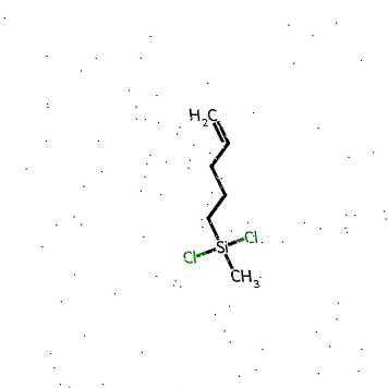 C=CCCC[Si](C)(Cl)Cl